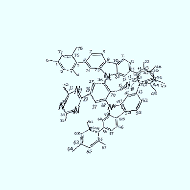 Cc1cc(C)c(-c2ccc3c4ccc(-c5c(C)cc(C)cc5C)cc4n(-c4cc(-c5nc(C)nc(C)n5)cc(-n5c6cc(-c7c(C)cc(C)cc7C)ccc6c6ccc(-c7c(C)cc(C)cc7C)cc65)c4C#N)c3c2)c(C)c1